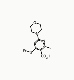 CCSc1cc(N2CCOCC2)nc(C)c1C(=O)O